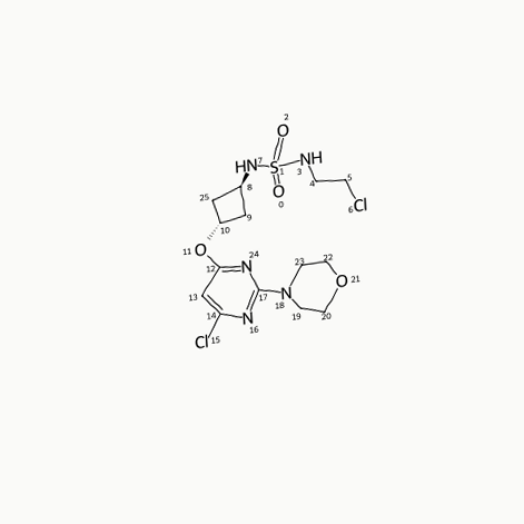 O=S(=O)(NCCCl)N[C@H]1C[C@H](Oc2cc(Cl)nc(N3CCOCC3)n2)C1